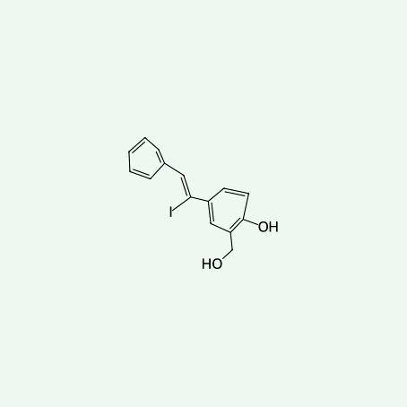 OCc1cc(C(I)=Cc2ccccc2)ccc1O